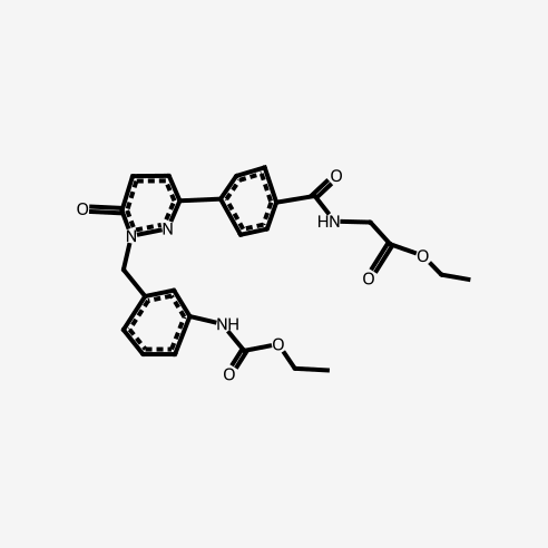 CCOC(=O)CNC(=O)c1ccc(-c2ccc(=O)n(Cc3cccc(NC(=O)OCC)c3)n2)cc1